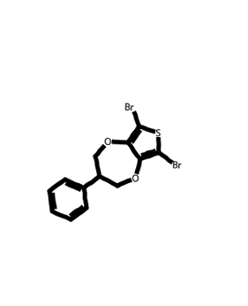 Brc1sc(Br)c2c1OCC(c1ccccc1)CO2